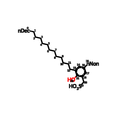 CCCCCCCCCCCCCCCCCCCCCCc1cc(CCCCCCCCC)cc(CS(=O)(=O)O)c1O